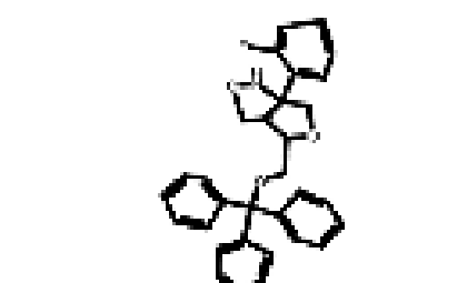 Fc1ccccc1C12COC(COC(c3ccccc3)(c3ccccc3)c3ccccc3)C1CON2